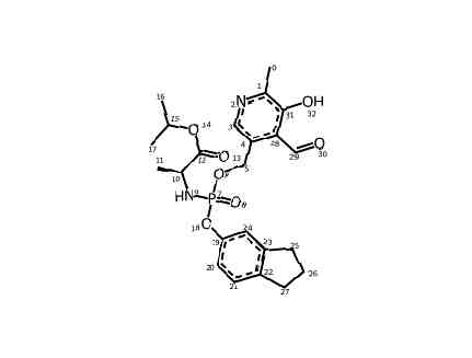 Cc1ncc(COP(=O)(N[C@@H](C)C(=O)OC(C)C)Oc2ccc3c(c2)CCC3)c(C=O)c1O